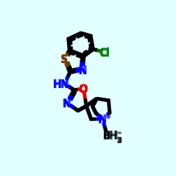 [BH3-][N+]12CCC(CC1)C1(CN=C(Nc3nc4c(Cl)cccc4s3)O1)C2